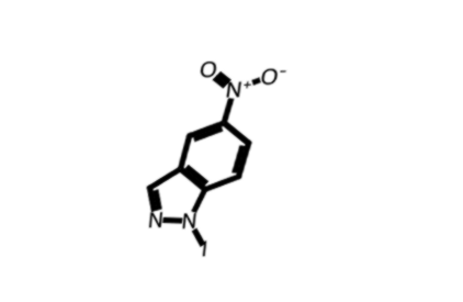 O=[N+]([O-])c1ccc2c(cnn2I)c1